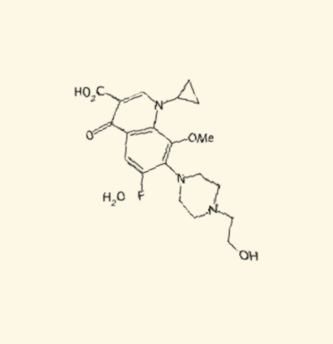 COc1c(N2CCN(CCO)CC2)c(F)cc2c(=O)c(C(=O)O)cn(C3CC3)c12.O